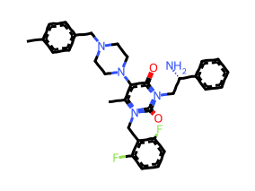 Cc1ccc(CN2CCN(c3c(C)n(Cc4c(F)cccc4F)c(=O)n(C[C@H](N)c4ccccc4)c3=O)CC2)cc1